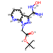 CC(C)(C)OC(=O)Cn1nc(C(=N)NO)c2cccnc21